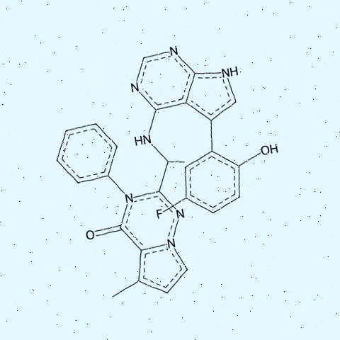 Cc1ccn2nc(C(C)Nc3ncnc4[nH]cc(-c5cc(F)ccc5O)c34)n(-c3ccccc3)c(=O)c12